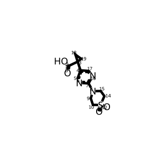 O=C(O)C1(c2cnc(N3CCS(=O)(=O)CC3)nc2)CC1